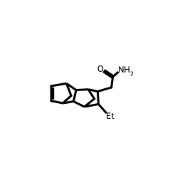 CCC1C(CC(N)=O)C2CC1C1C3C=CC(C3)C21